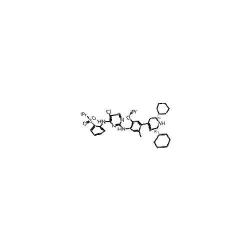 Cc1cc(Nc2ncc(Cl)c(Nc3ccccc3S(=O)(=O)C(C)C)n2)c(OC(C)C)cc1C1=C[C@@H](C2CCCCC2)N[C@@H](C2CCCCC2)C1